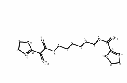 C=C(OCOCCCCOC(=O)C(=C)C1=NCCO1)C1=NCCO1